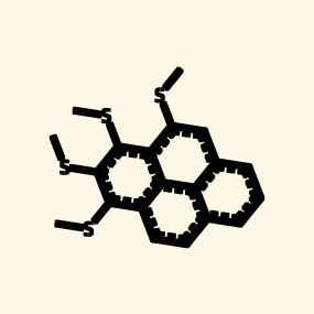 CSc1c(SC)c2ccc3cccc4cc(SC)c(c1SC)c2c34